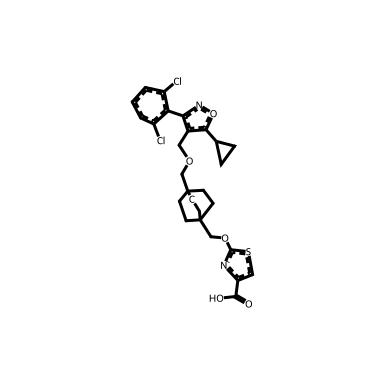 O=C(O)c1csc(OCC23CCC(COCc4c(-c5c(Cl)cccc5Cl)noc4C4CC4)(CC2)CC3)n1